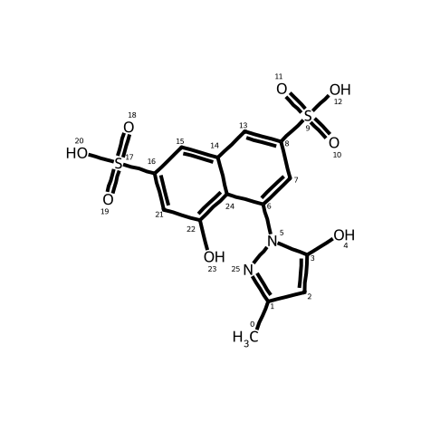 Cc1cc(O)n(-c2cc(S(=O)(=O)O)cc3cc(S(=O)(=O)O)cc(O)c23)n1